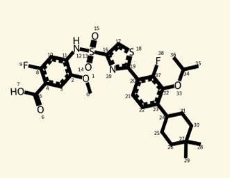 COc1cc(C(=O)O)c(F)cc1NS(=O)(=O)c1csc(-c2ccc(C3CCC(C)(C)CC3)c(OC(C)C)c2F)n1